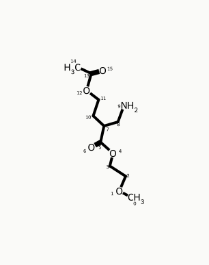 COCCOC(=O)C(CN)CCOC(C)=O